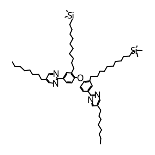 CCCCCCCCc1cnc(-c2ccc(Oc3ccc(-c4ncc(CCCCCCCC)cn4)cc3CCCCCCCCCCC[Si](C)(C)C)c(CCCCCCCCCCC[Si](C)(C)C)c2)nc1